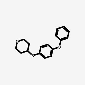 c1ccc(Oc2ccc(S[C]3CCOCC3)cc2)cc1